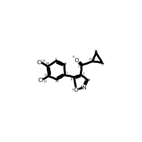 O=C(c1cnoc1-c1ccc(Cl)c(Cl)c1)C1CC1